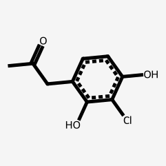 CC(=O)Cc1ccc(O)c(Cl)c1O